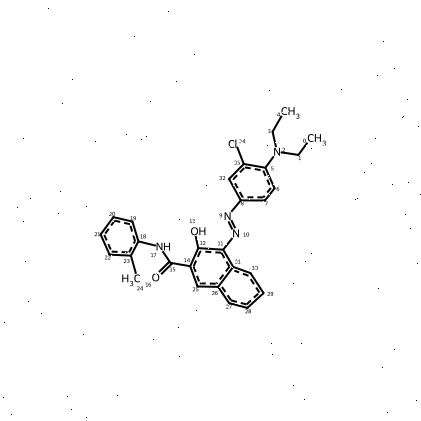 CCN(CC)c1ccc(N=Nc2c(O)c(C(=O)Nc3ccccc3C)cc3ccccc23)cc1Cl